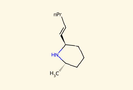 CCCC=C[C@H]1CCC[C@H](C)N1